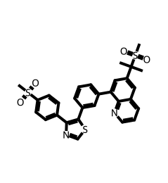 CC(C)(c1cc(-c2cccc(-c3scnc3-c3ccc(S(C)(=O)=O)cc3)c2)c2ncccc2c1)S(C)(=O)=O